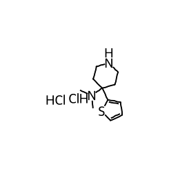 CN(C)C1(c2cccs2)CCNCC1.Cl.Cl